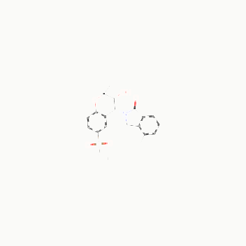 CC1(C)Oc2ccc(S(=O)(=O)C(F)(F)F)cc2[C@@H](N2Cc3c(F)cccc3C2=O)[C@@H]1O